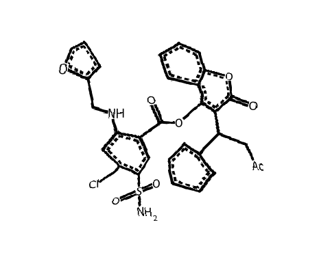 CC(=O)CC(c1ccccc1)c1c(OC(=O)c2cc(S(N)(=O)=O)c(Cl)cc2NCc2ccco2)c2ccccc2oc1=O